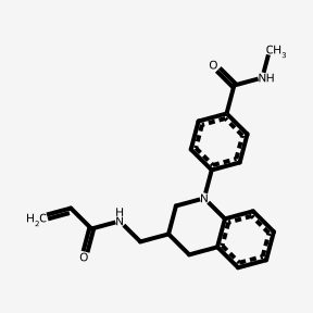 C=CC(=O)NCC1Cc2ccccc2N(c2ccc(C(=O)NC)cc2)C1